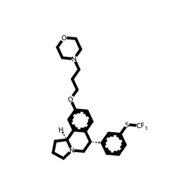 FC(F)(F)Sc1cccc([C@@H]2CN3CCC[C@H]3c3cc(OCCCN4CCOCC4)ccc32)c1